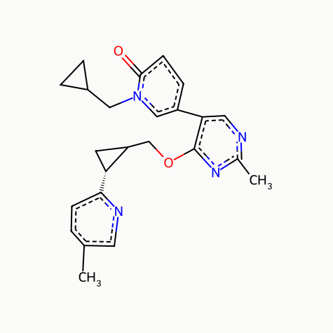 Cc1ccc([C@@H]2CC2COc2nc(C)ncc2-c2ccc(=O)n(CC3CC3)c2)nc1